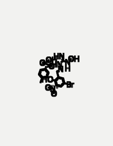 Cc1ccc(S(=O)(=O)O)cc1.N=C(NO)NN=Cc1cc(Br)cc([N+](=O)[O-])c1O